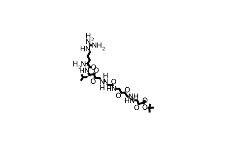 CC(C)C[C@H](NC(=O)[C@@H](N)CCCNC(N)N)C(=O)C(=O)CNNCC(=O)NCC(=O)C(=O)CNNCC(=O)C(=O)OC(C)(C)C